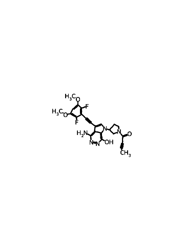 CC#CC(=O)N1CCC(n2cc(C#Cc3c(F)c(OC)cc(OC)c3F)c3c(N)nnc(O)c32)C1